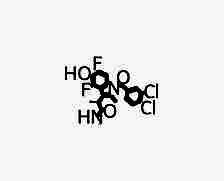 CNC(=O)[C@@H](C)c1c(C)n(C(=O)c2ccc(Cl)c(Cl)c2)c2cc(F)c(O)c(F)c12